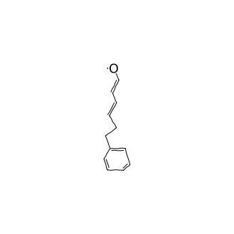 [O]/C=C/C=C/CCc1ccccc1